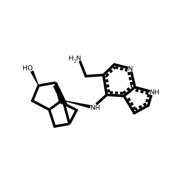 NCc1cnc2[nH]ccc2c1N[C@H]1C=C2C3CC1CC3C[C@H]2O